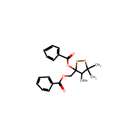 COC1C(C)(C)SSC1(COC(=O)c1ccccc1)OC(=O)c1ccccc1